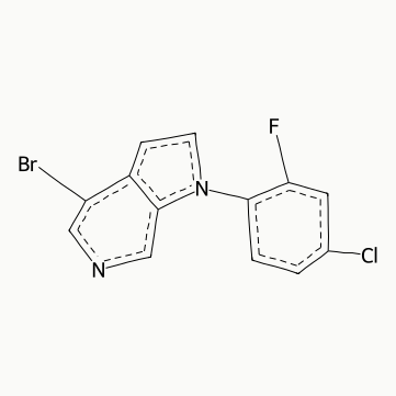 Fc1cc(Cl)ccc1-n1ccc2c(Br)cncc21